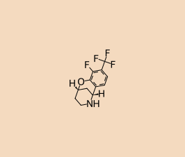 Fc1c(C(F)(F)F)ccc2c1O[C@H]1CCN[C@@H]2C1